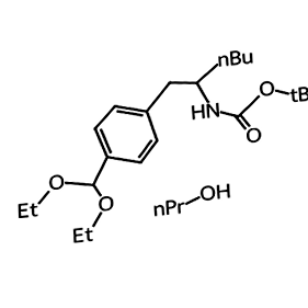 CCCCC(Cc1ccc(C(OCC)OCC)cc1)NC(=O)OC(C)(C)C.CCCO